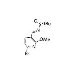 COc1nc(Br)ccc1/C=N/[S@+]([O-])C(C)(C)C